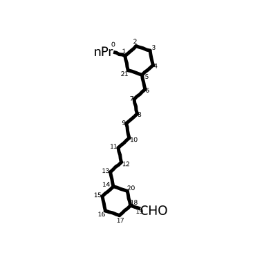 CCCC1CCCC(CCCCCCCCC2CCCC(C=O)C2)C1